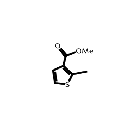 COC(=O)c1ccsc1C